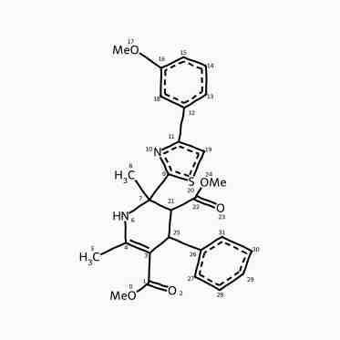 COC(=O)C1=C(C)NC(C)(c2nc(-c3cccc(OC)c3)cs2)C(C(=O)OC)C1c1ccccc1